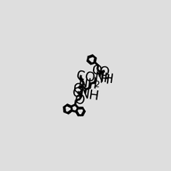 O=C(O)CNC(=O)C(CCCCNC(=O)OCc1ccccc1)NC(=O)OCC1c2ccccc2-c2ccccc21